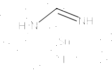 N=CN.[I].[Sn]